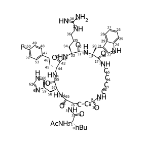 CCCC[C@H](NC(C)=O)C(=O)N[C@H]1CCC(=O)NCCCCNC(=O)[C@H](Cc2c[nH]c3ccccc23)NC(=O)[C@H](CCCNC(=N)N)NC(=O)[C@@H](CCc2ccc(F)cc2)NC(=O)[C@H](Cc2c[nH]cn2)NC1=O